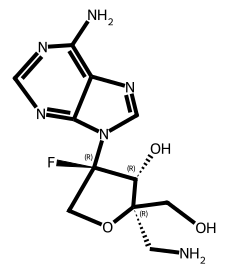 NC[C@]1(CO)OC[C@](F)(n2cnc3c(N)ncnc32)[C@@H]1O